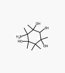 BC1(C)C(C)(O)C(S)C(C)(O)C(C)(C)C1(C)O